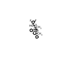 C[C@H](NC(=O)[C@H](O)c1cc(F)cc(F)c1)C(=O)N[C@@H]1C(=O)N(C)[C@H](c2ccccc2)C=C[C@H]1c1ccccc1